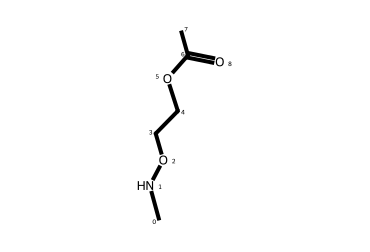 CNOCCOC(C)=O